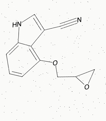 N#Cc1c[nH]c2cccc(OCC3CO3)c12